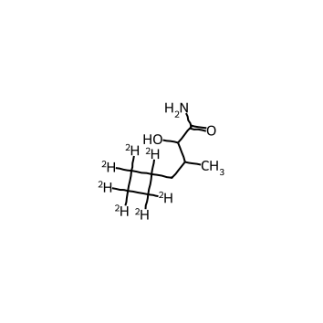 [2H]C1([2H])C([2H])([2H])C([2H])(CC(C)C(O)C(N)=O)C1([2H])[2H]